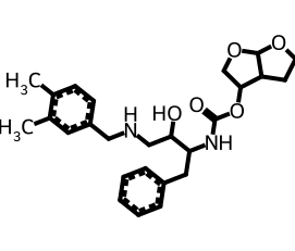 Cc1ccc(CNCC(O)C(Cc2ccccc2)NC(=O)OC2COC3OCCC23)cc1C